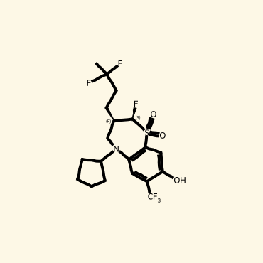 CC(F)(F)CC[C@@H]1CN(C2CCCC2)c2cc(C(F)(F)F)c(O)cc2S(=O)(=O)[C@@H]1F